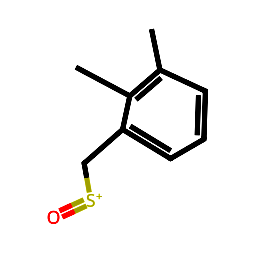 Cc1cccc(C[S+]=O)c1C